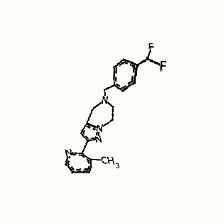 Cc1cccnc1-c1cc2n(n1)CCN(Cc1ccc(C(F)F)cc1)C2